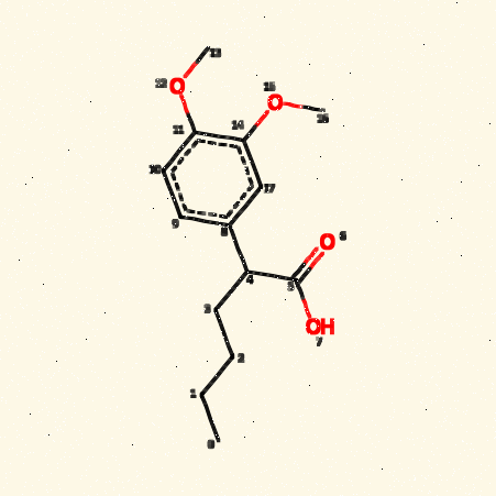 CCCCC(C(=O)O)c1ccc(OC)c(OC)c1